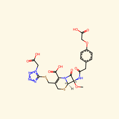 CO[C@@]1(NC(=O)Cc2ccc(OCC(=O)O)cc2)C(=O)N2C(C(=O)O)=C(CSc3nnnn3CC(=O)O)CS[C@@H]21